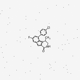 CC1CNC(=O)c2cc3cc(F)cc(-c4ccc(Cl)cc4)c3n21